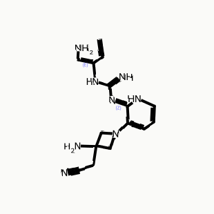 C=C/C(=C\N)NC(=N)/N=c1\[nH]cccc1N1CC(N)(CC#N)C1